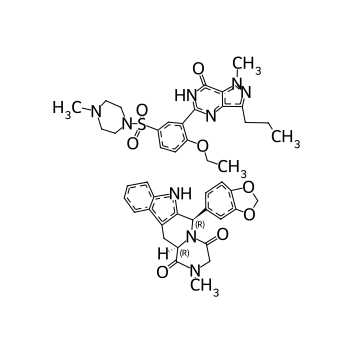 CCCc1nn(C)c2c(=O)[nH]c(-c3cc(S(=O)(=O)N4CCN(C)CC4)ccc3OCC)nc12.CN1CC(=O)N2[C@H](c3ccc4c(c3)OCO4)c3[nH]c4ccccc4c3C[C@@H]2C1=O